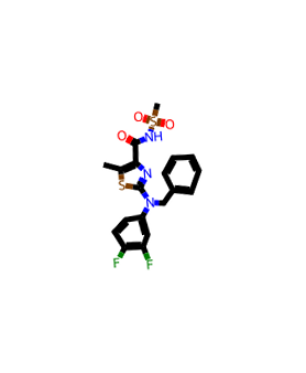 Cc1sc(N(Cc2ccccc2)c2ccc(F)c(F)c2)nc1C(=O)NS(C)(=O)=O